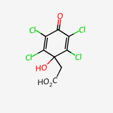 O=C(O)CC1(O)C(Cl)=C(Cl)C(=O)C(Cl)=C1Cl